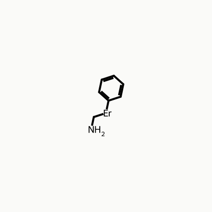 N[CH2][Er][c]1ccccc1